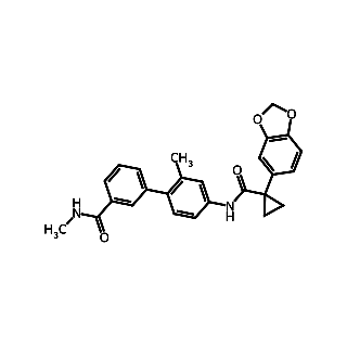 CNC(=O)c1cccc(-c2ccc(NC(=O)C3(c4ccc5c(c4)OCO5)CC3)cc2C)c1